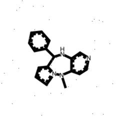 CN1c2ccncc2NC(c2ccccc2)c2cccn21